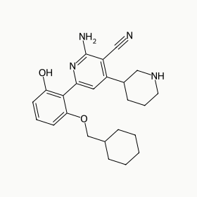 N#Cc1c(C2CCCNC2)cc(-c2c(O)cccc2OCC2CCCCC2)nc1N